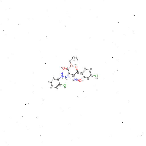 CCOC(=O)/C(=N\Nc1ccccc1Cl)C(N=O)C(=O)c1ccc(Cl)cc1